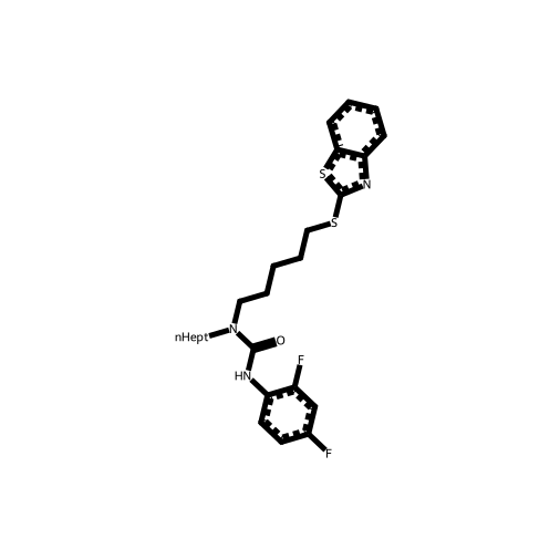 CCCCCCCN(CCCCCSc1nc2ccccc2s1)C(=O)Nc1ccc(F)cc1F